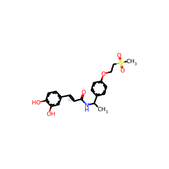 CC(NC(=O)/C=C/c1ccc(O)c(O)c1)c1ccc(OCCS(C)(=O)=O)cc1